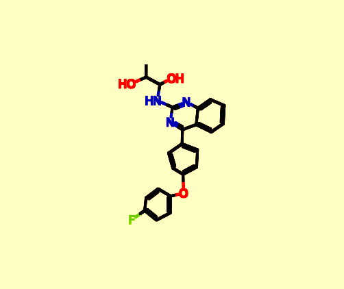 CC(O)C(O)Nc1nc(-c2ccc(Oc3ccc(F)cc3)cc2)c2ccccc2n1